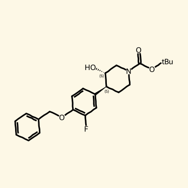 CC(C)(C)OC(=O)N1CC[C@@H](c2ccc(OCc3ccccc3)c(F)c2)[C@H](O)C1